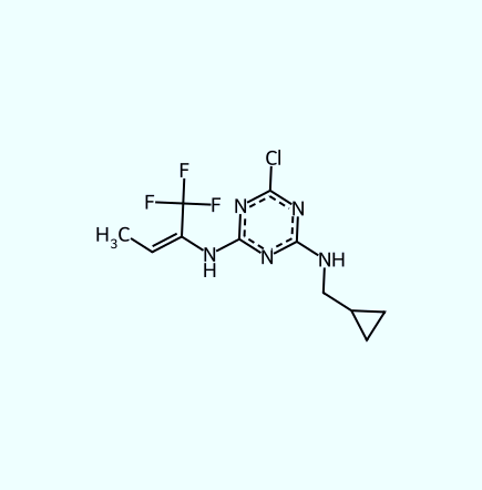 CC=C(Nc1nc(Cl)nc(NCC2CC2)n1)C(F)(F)F